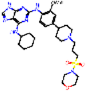 COc1cc(C2CCN(CCCS(=O)(=O)N3CCOCC3)CC2)ccc1Nc1nc(NC2CCCCC2)c2nc[nH]c2n1